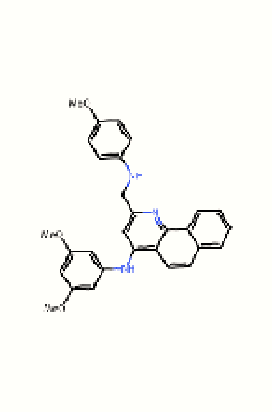 COc1ccc(NCc2cc(Nc3cc(OC)cc(OC)c3)c3ccc4ccccc4c3n2)cc1